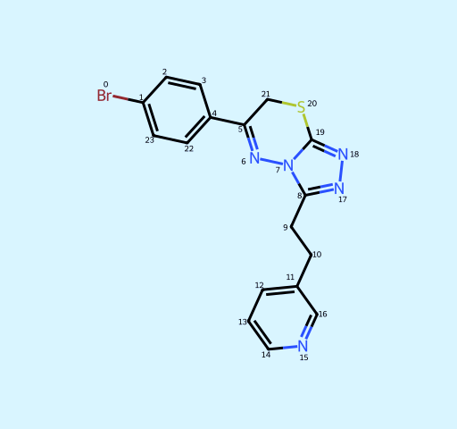 Brc1ccc(C2=Nn3c(CCc4cccnc4)nnc3SC2)cc1